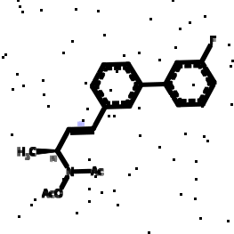 CC(=O)ON(C(C)=O)[C@@H](C)/C=C/c1cccc(-c2cccc(F)c2)c1